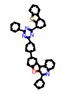 c1ccc(-c2nc(-c3ccc(-c4ccc5oc6c(-c7ccccc7)nc7ccccc7c6c5c4)cc3)nc(-c3cccc4c3sc3ccccc34)n2)cc1